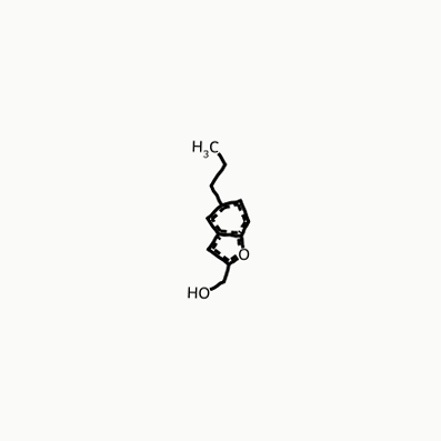 CCCc1ccc2oc(CO)cc2c1